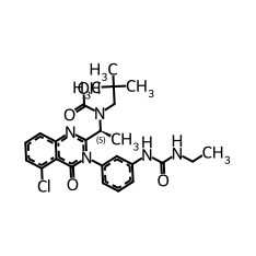 CCNC(=O)Nc1cccc(-n2c([C@H](C)N(CC(C)(C)C)C(=O)O)nc3cccc(Cl)c3c2=O)c1